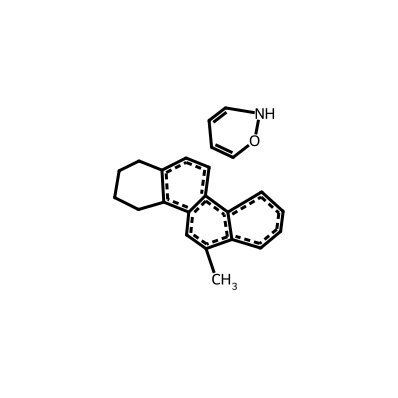 C1=CNOC=C1.Cc1cc2c3c(ccc2c2ccccc12)CCCC3